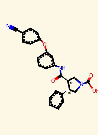 N#Cc1ccc(Oc2cccc(NC(=O)[C@H]3CN(C(=O)O)C[C@@H]3c3ccccc3)c2)cc1